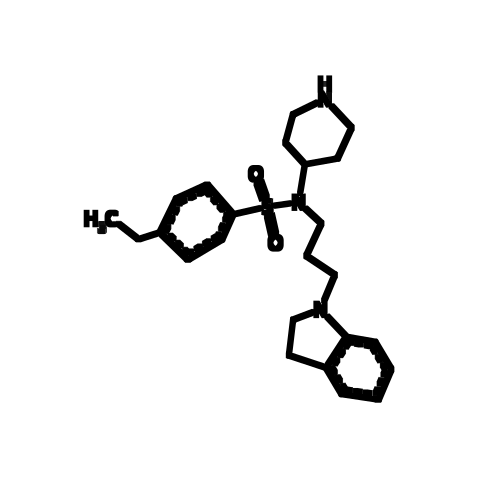 CCc1ccc(S(=O)(=O)N(CCCN2CCc3ccccc32)C2CCNCC2)cc1